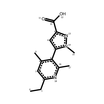 CCc1cc(C)c(-c2cc(C(=O)O)nn2C)c(C)n1